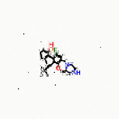 Cc1cccc(O)c1-c1c(F)cc2c(c1C#C[Si](C)(C)C)OC[C@H]1CNCCN1C2